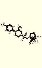 C[C@H]1CN(S(=O)(=O)C[C@]23CC[C@H](CC2=O)C3(C)C)CCN1c1ncc(C(F)(F)F)cn1